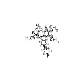 CNC(=O)N1N=C(c2ccc(N3CCC(F)CC3)cc2)c2cc(OC)c(OC)c(F)c2CC1C